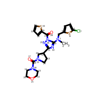 CN(Cc1ccc(Cl)s1)c1nc(C2CCN(C(=O)N3CCOCC3)C2)nn1C(=O)c1cccs1